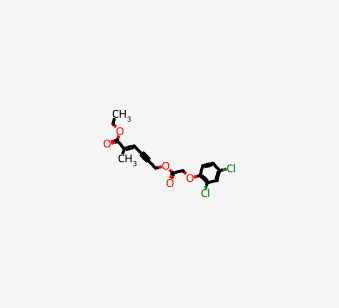 CCOC(=O)/C(C)=C/C#CCOC(=O)COc1ccc(Cl)cc1Cl